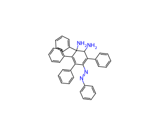 NC1C(c2ccccc2)=C(N=Nc2ccccc2)C(c2ccccc2)=C(c2ccccc2)C1(N)c1ccccc1